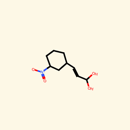 O=[N+]([O-])C1CCCC(/C=C/C(O)O)C1